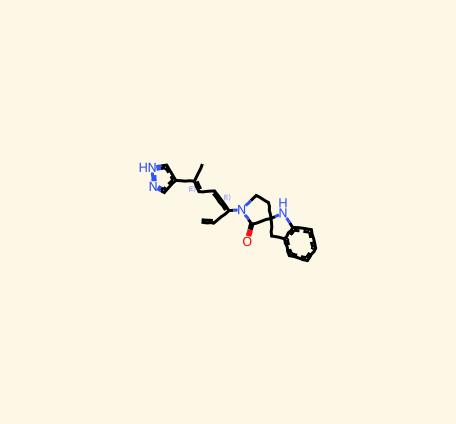 C=C/C(=C\C=C(/C)c1cn[nH]c1)N1CCC2(Cc3ccccc3N2)C1=O